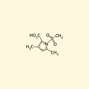 Cc1cc(C)n(S(C)(=O)=O)c1C(=O)O